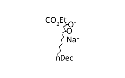 CCCCCCCCCCCCCCCCCC(=O)C=C([O-])C(=O)OCC.[Na+]